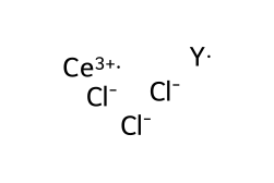 [Ce+3].[Cl-].[Cl-].[Cl-].[Y]